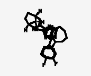 Cc1cc(N2C[C@H]3CC[C@@H](C2)[C@@H]3Nc2nc3n(n2)CCCC[C@H]3c2ccc(F)c(F)c2)ncn1